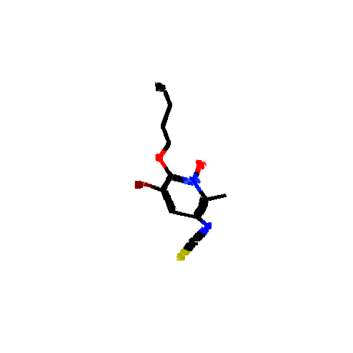 Cc1c(N=C=S)cc(Br)c(OCCCC(C)C)[n+]1[O-]